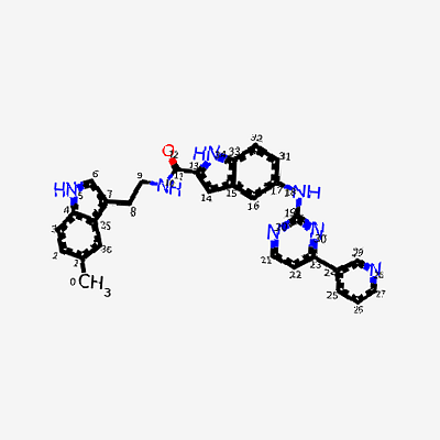 Cc1ccc2[nH]cc(CCNC(=O)c3cc4cc(Nc5nccc(-c6cccnc6)n5)ccc4[nH]3)c2c1